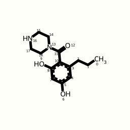 CCCc1cc(O)cc(O)c1C(=O)N1CCNCC1